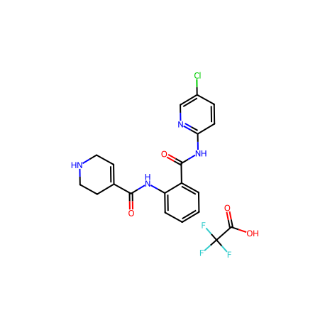 O=C(Nc1ccccc1C(=O)Nc1ccc(Cl)cn1)C1=CCNCC1.O=C(O)C(F)(F)F